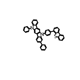 c1ccc(-c2ccc3c4cc5c(cc4n(-c4ccc(-c6cccc7c6sc6ccccc67)cc4)c3c2)c2ccccc2n5-c2ccccc2)cc1